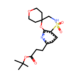 CC(C)(C)OC(=O)CCc1ccc2c(n1)OC1(CCOCC1)CNS2(=O)=O